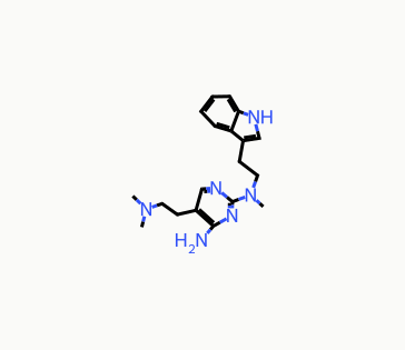 CN(C)CCc1cnc(N(C)CCc2c[nH]c3ccccc23)nc1N